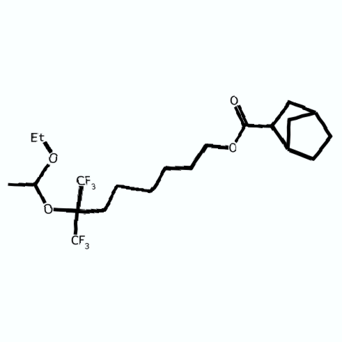 CCOC(C)OC(CCCCCCOC(=O)C1CC2CCC1C2)(C(F)(F)F)C(F)(F)F